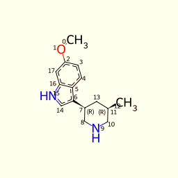 COc1ccc2c([C@@H]3CNC[C@H](C)C3)c[nH]c2c1